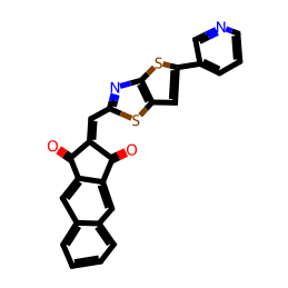 O=C1C(=Cc2nc3sc(-c4cccnc4)cc3s2)C(=O)c2cc3ccccc3cc21